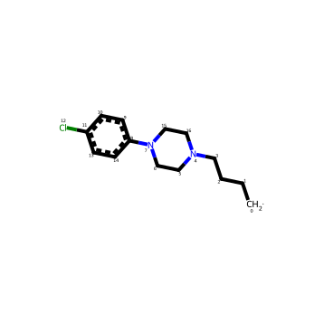 [CH2]CCCN1CCN(c2ccc(Cl)cc2)CC1